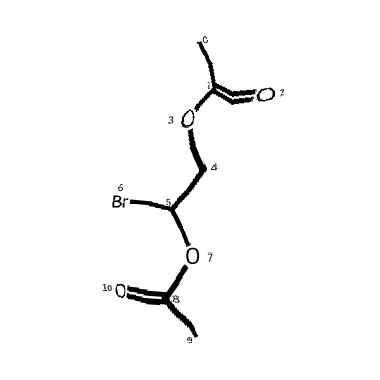 CC(=O)OCC(Br)OC(C)=O